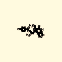 CCc1nn(C[C@@H](C)COC(=O)c2ccc(Cl)cc2)c2c1C(=O)NCC1(CCOCC1)C2